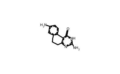 Nc1ccc2c(c1)CCc1nc(N)[nH]c(=O)c1-2